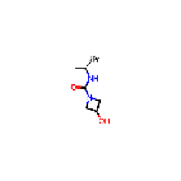 CC(C)[C@@H](C)NC(=O)N1CC(O)C1